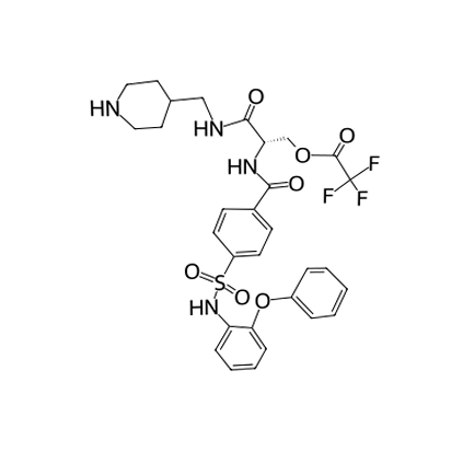 O=C(N[C@@H](COC(=O)C(F)(F)F)C(=O)NCC1CCNCC1)c1ccc(S(=O)(=O)Nc2ccccc2Oc2ccccc2)cc1